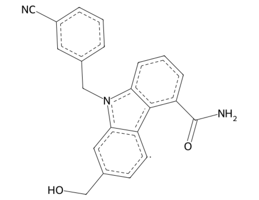 N#Cc1cccc(Cn2c3cc(CO)c[c]c3c3c(C(N)=O)cccc32)c1